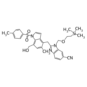 Cc1ccc(S(=O)(=O)n2ccc3c(Cc4nc5ccc(C#N)cc5n4COCC[Si](C)(C)C)c(C)cc(CO)c32)cc1